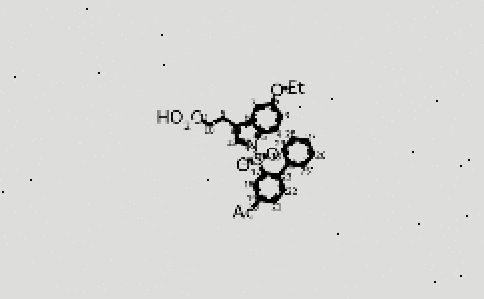 CCOc1ccc2c(c1)c(CCC(=O)O)cn2S(=O)(=O)c1cc(C(C)=O)ccc1-c1ccccc1